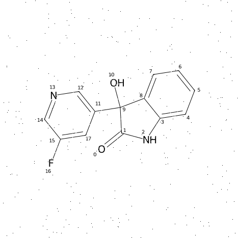 O=C1Nc2ccccc2C1(O)c1cncc(F)c1